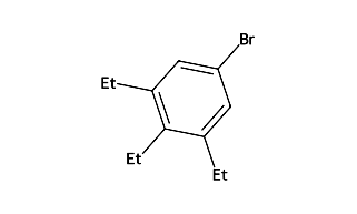 CCc1cc(Br)cc(CC)c1CC